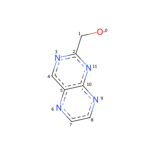 [O]Cc1ncc2nccnc2n1